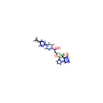 O=c1[nH]ncc(N2CCC[C@H]2COCC[C@H](O)N2CCN(c3ncc(C4CC4)cn3)CC2)c1C(F)(F)F